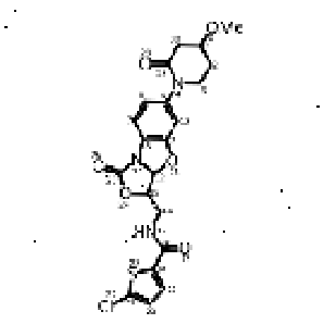 COC1CCN(c2ccc3c(c2)OC2C(CNC(=O)c4ccc(Cl)s4)OC(=O)N32)C(=O)C1